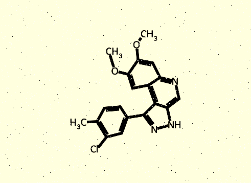 COc1cc2ncc3[nH]nc(-c4ccc(C)c(Cl)c4)c3c2cc1OC